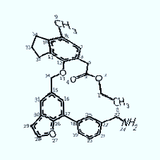 CCOC(=O)Cc1cc(C)c2c(c1OCc1cc(-c3cccc(CN)c3)c3occc3c1)CCC2